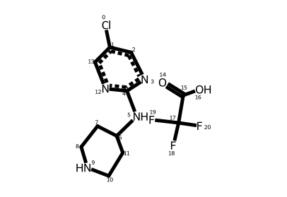 Clc1cnc(NC2CCNCC2)nc1.O=C(O)C(F)(F)F